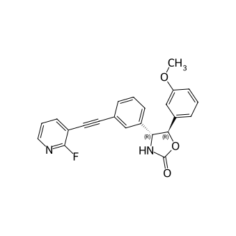 COc1cccc([C@H]2OC(=O)N[C@@H]2c2cccc(C#Cc3cccnc3F)c2)c1